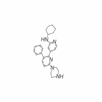 c1ccc(-c2ccc(N3CCNCC3)nc2-c2ccnc(NC3CCCCC3)c2)cc1